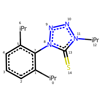 CC(C)c1cccc(C(C)C)c1-n1nnn(C(C)C)c1=S